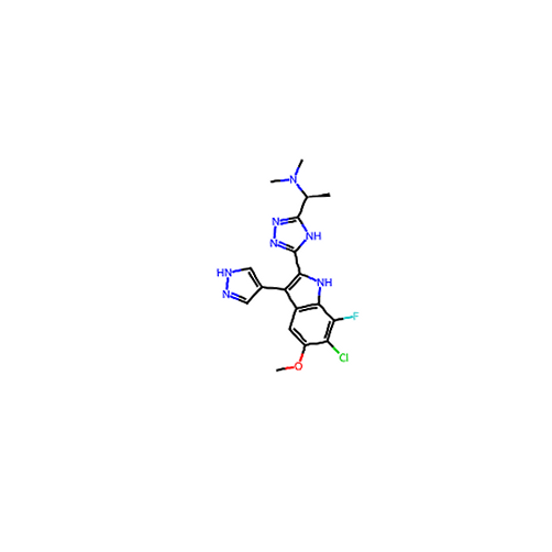 COc1cc2c(-c3cn[nH]c3)c(-c3nnc([C@H](C)N(C)C)[nH]3)[nH]c2c(F)c1Cl